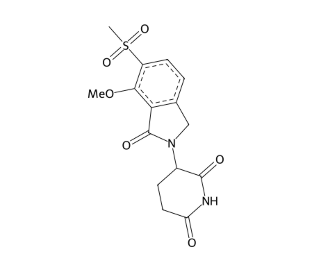 COc1c(S(C)(=O)=O)ccc2c1C(=O)N(C1CCC(=O)NC1=O)C2